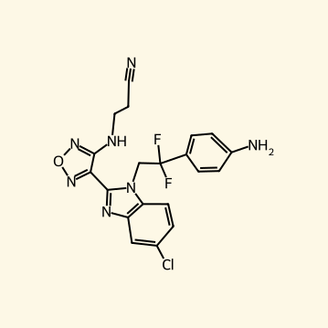 N#CCCNc1nonc1-c1nc2cc(Cl)ccc2n1CC(F)(F)c1ccc(N)cc1